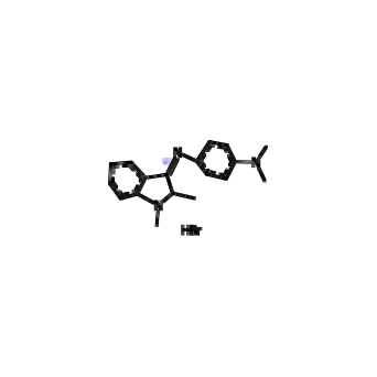 Br.CC1/C(=N\c2ccc(N(C)C)cc2)c2ccccc2N1C